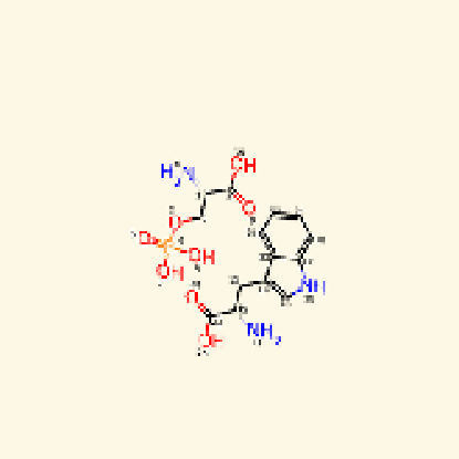 N[C@@H](COP(=O)(O)O)C(=O)O.N[C@@H](Cc1c[nH]c2ccccc12)C(=O)O